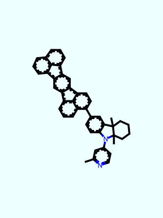 Cc1cc(N2c3ccc(-c4ccc5c6cc7c(cc6c6cccc4c65)c4cccc5cccc7c54)cc3C3(C)CCCCC23C)ccn1